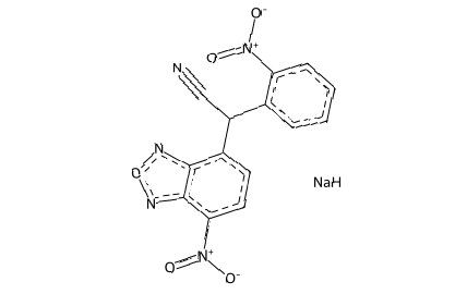 N#CC(c1ccccc1[N+](=O)[O-])c1ccc([N+](=O)[O-])c2nonc12.[NaH]